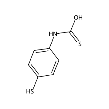 OC(=S)Nc1ccc(S)cc1